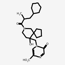 CC(CC1CCCCC1)C(=O)N1CCC(O)(Cn2cc(C(=O)O)ncc2=O)C2(CCCC2)C1